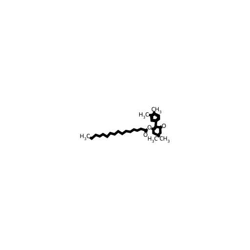 CCCCCCCCCCCCCCCC(=O)OC1=C(c2ccc(C)c(C)c2)C(=O)CC(C)(C)C1